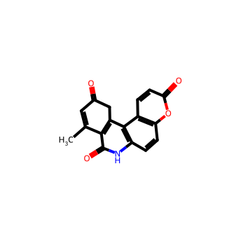 CC1=CC(=O)Cc2c1c(=O)[nH]c1ccc3oc(=O)ccc3c21